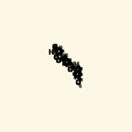 COCc1ccc2c(c1)CCN2C(=O)Nc1ccc2c(c1)CN(C1CCC(=O)NC1=O)C2=O